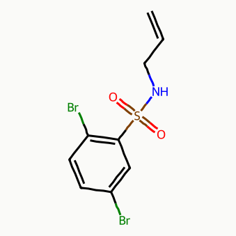 C=CCNS(=O)(=O)c1cc(Br)ccc1Br